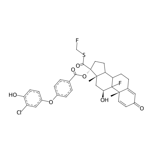 C[C@]12C=CC(=O)C=C1CCC1C3CC[C@](OC(=O)c4ccc(Oc5ccc(O)c(Cl)c5)cc4)(C(=O)SCF)[C@@]3(C)C[C@H](O)C12F